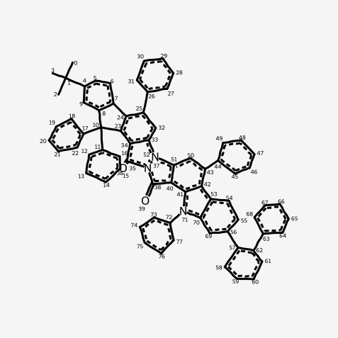 CC(C)(C)c1ccc2c(c1)C(c1ccccc1)(c1ccccc1)c1c-2c(-c2ccccc2)cc2c1c(=O)n1c(=O)c3c4c(c(-c5ccccc5)cc3n21)c1ccc(-c2ccccc2-c2ccccc2)cc1n4-c1ccccc1